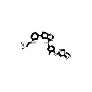 Cc1cc(Nc2ncnc3ccc(-c4cccc(NCC[S+](C)[O-])c4)cc23)ccc1Oc1cc2nncn2cn1